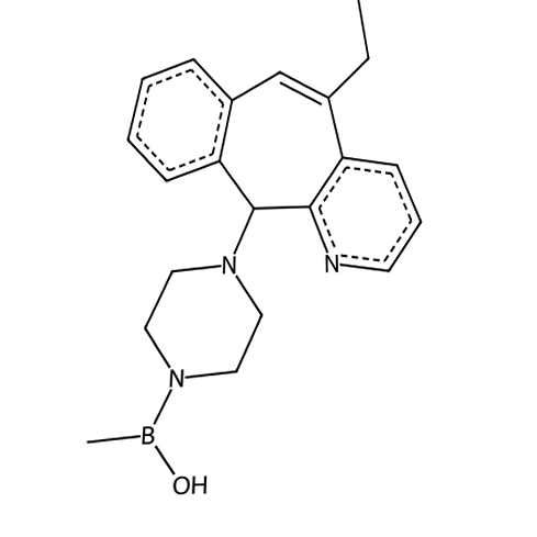 CCC1=Cc2ccccc2C(N2CCN(B(C)O)CC2)c2ncccc21